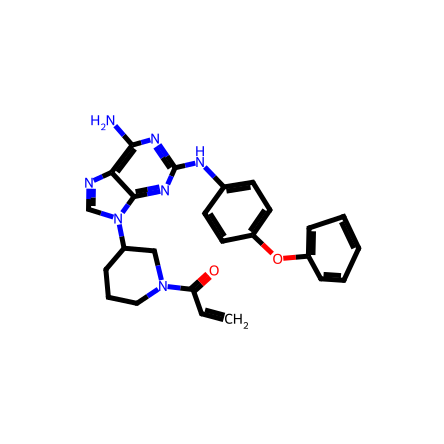 C=CC(=O)N1CCCC(n2cnc3c(N)nc(Nc4ccc(Oc5ccccc5)cc4)nc32)C1